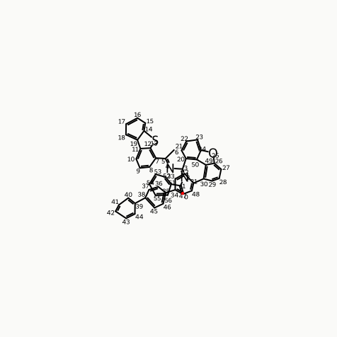 C=C(/N=C(\N=C(/C)c1cccc2c1sc1ccccc12)c1cccc2oc3cccc(-c4ccc(-c5ccc(-c6ccccc6)cc5)cc4)c3c12)c1ccccc1